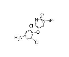 CC(C)n1cc(Oc2c(Cl)cc(N)cc2Cl)cnc1=O